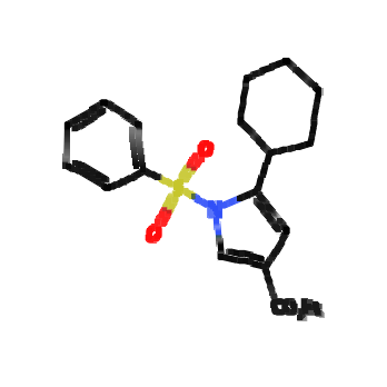 CCOC(=O)c1cc(C2CCCCC2)n(S(=O)(=O)c2ccccc2)c1